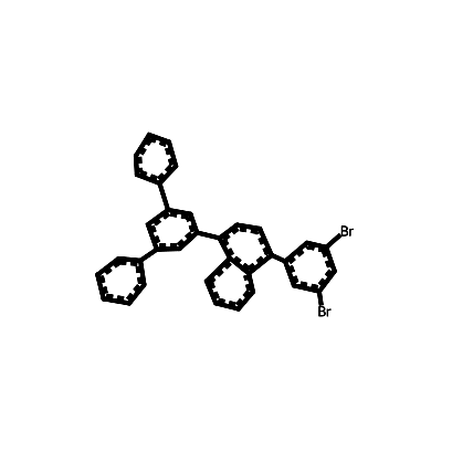 Brc1cc(Br)cc(-c2ccc(-c3cc(-c4ccccc4)cc(-c4ccccc4)c3)c3ccccc23)c1